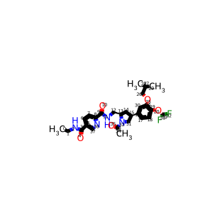 CCNC(=O)c1ccc(C(=O)NC[C@H]2C[C@@H](c3ccc(OC(F)F)c(OCC(C)C)c3)CN2C(C)=O)nc1